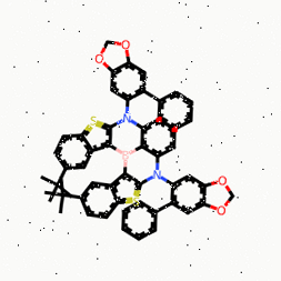 CC(C)(C)c1ccc2sc3c(c2c1)B1c2c(cccc2N(c2cc4c(cc2-c2ccccc2)OCO4)c2sc4ccc(C(C)(C)C)cc4c21)N3c1cc2c(cc1-c1ccccc1)OCO2